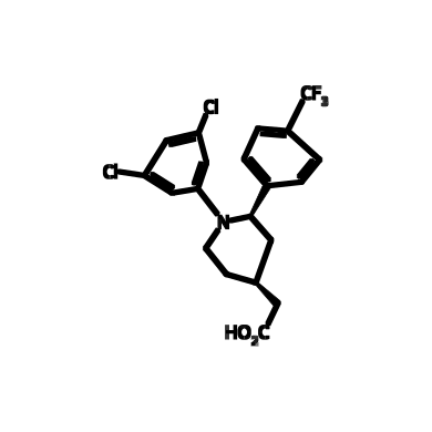 O=C(O)C[C@H]1CCN(c2cc(Cl)cc(Cl)c2)[C@@H](c2ccc(C(F)(F)F)cc2)C1